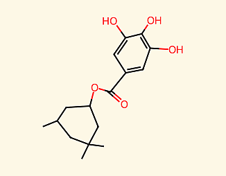 CC1CC(OC(=O)c2cc(O)c(O)c(O)c2)CC(C)(C)C1